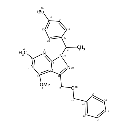 COc1nc(C)nc2c1c(COCc1ccccc1)nn2C(C)c1ccc(C(C)(C)C)cc1